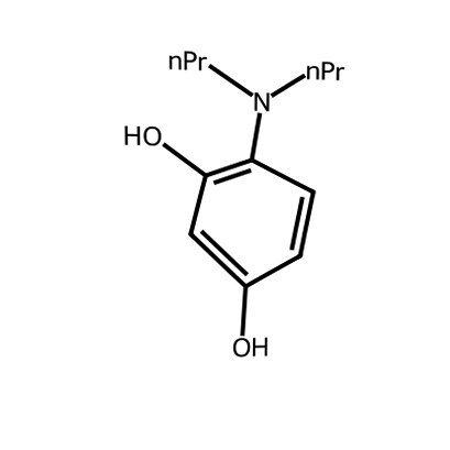 CCCN(CCC)c1ccc(O)cc1O